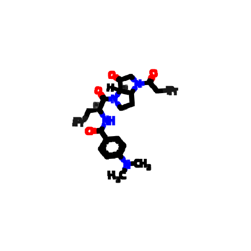 CC(C)CC(=O)N1CC(=O)[C@@H]2C1CCN2C(=O)[C@H](CC(C)C)NC(=O)c1ccc(N(C)C)cc1